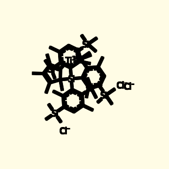 CC1=C(C)C(C)([Si](c2c(C)c([Si](C)(C)C)cc(C)c2[Si](C)(C)C)(c2c(C)c([Si](C)(C)C)cc(C)c2[Si](C)(C)C)c2c(C)c([Si](C)(C)C)cc(C)c2[Si](C)(C)C)[C]([Ti+3])=C1C.[Cl-].[Cl-].[Cl-]